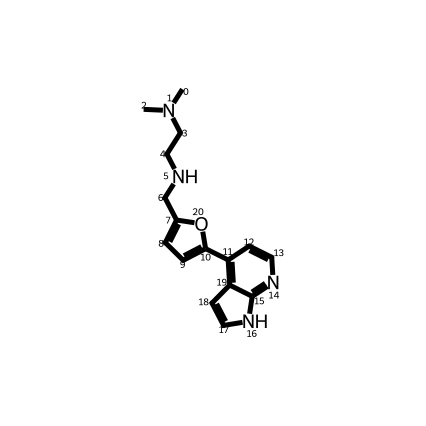 CN(C)CCNCc1ccc(-c2ccnc3[nH]ccc23)o1